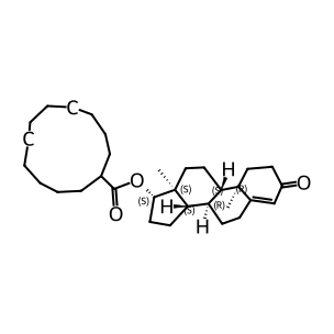 C[C@]12CC[C@H]3[C@@H](CCC4=CC(=O)CC[C@@]43C)[C@@H]1CC[C@@H]2OC(=O)C1CCCCCCCCCCC1